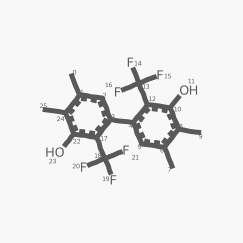 Cc1cc(-c2cc(C)c(C)c(O)c2C(F)(F)F)c(C(F)(F)F)c(O)c1C